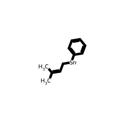 CC(C)=C[CH2][Sn][c]1ccccc1